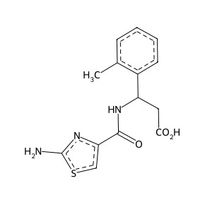 Cc1ccccc1C(CC(=O)O)NC(=O)c1csc(N)n1